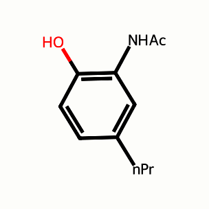 CCCc1ccc(O)c(NC(C)=O)c1